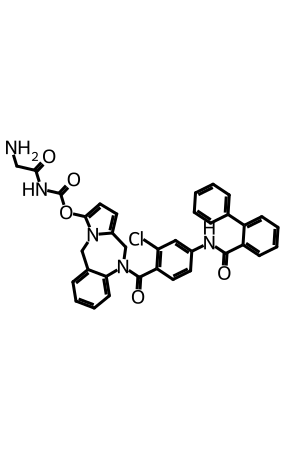 NCC(=O)NC(=O)Oc1ccc2n1Cc1ccccc1N(C(=O)c1ccc(NC(=O)c3ccccc3-c3ccccc3)cc1Cl)C2